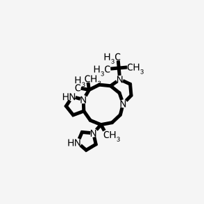 CC(C)(C)N1CCN2CCC(C)(N3CCNC3)CC3CCNN3C(C)(C)CC1C2